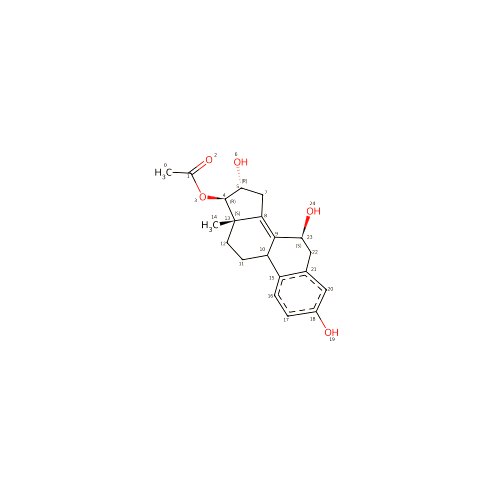 CC(=O)O[C@H]1[C@H](O)CC2=C3C(CC[C@@]21C)c1ccc(O)cc1C[C@@H]3O